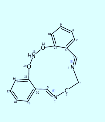 C1=N/CC/N=C/c2ccccc2ONOc2ccccc2/1